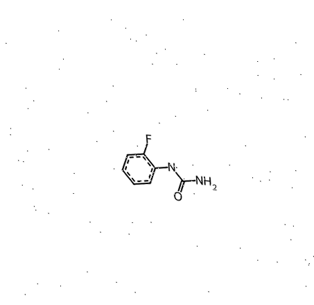 NC(=O)[N]c1ccccc1F